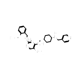 O=[N+]([O-])c1cnc(NCc2ccccc2OC(F)(F)F)nc1NC[C@H]1CC[C@H](NCc2ccncc2)CC1